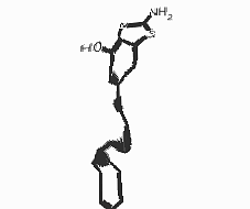 Nc1nc2c(O)cc(C#CCCc3ccccc3)cc2s1